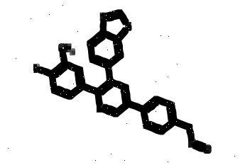 Cc1cc(-c2ncc(-c3ccc(CN=O)cc3)cc2-c2ccc3ncsc3c2)ccc1F